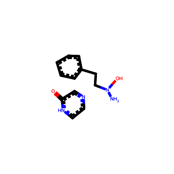 NN(O)CCc1ccccc1.O=c1cncc[nH]1